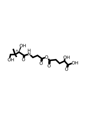 CC(C)(CO)[C@@H](O)C(=O)NCCC(=O)OC(=O)CCC(O)C(=O)O